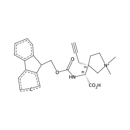 C#CC[C@]1([C@@H](NC(=O)OCC2c3ccccc3-c3ccccc32)C(=O)O)CC[N+](C)(C)C1